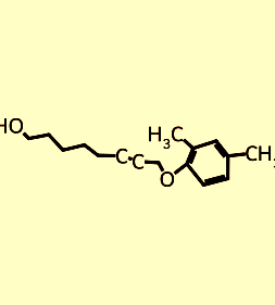 Cc1ccc(OCCCCCCCCO)c(C)c1